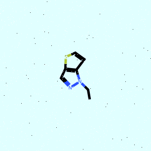 CCn1ncc2s[c]cc21